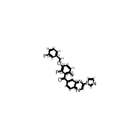 O=C(c1ccc2ncc(-n3ccnc3)nc2c1)c1c(F)ccc(OCc2cccc(F)c2)c1F